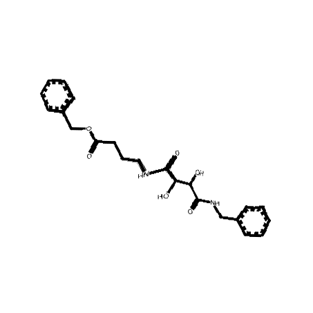 O=C(CCCNC(=O)C(O)C(O)C(=O)NCc1ccccc1)OCc1ccccc1